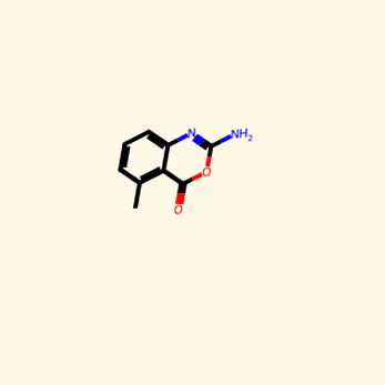 Cc1cccc2nc(N)oc(=O)c12